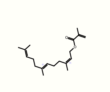 C=C(C)C(=O)OC/C=C(/C)CC/C=C(\C)CCC=C(C)C